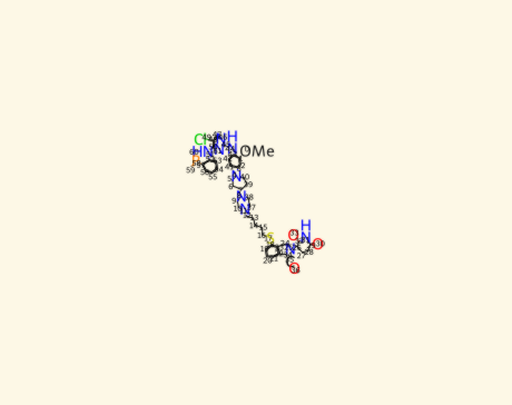 COc1cc(N2CCC(N3CCN(CCCCCSc4cccc5c4CN(C4CCC(=O)NC4=O)C5=C=O)CC3)CC2)ccc1Nc1ncc(Cl)c(Nc2ccccc2P(C)C)n1